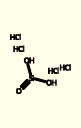 Cl.Cl.Cl.Cl.O=[Si](O)O